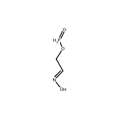 O=[PH2]OCC=NO